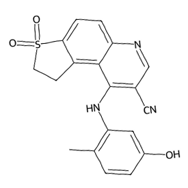 Cc1ccc(O)cc1Nc1c(C#N)cnc2ccc3c(c12)CCS3(=O)=O